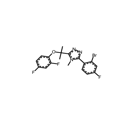 Cn1c(-c2ccc(F)cc2Br)nnc1C(C)(C)Oc1ccc(F)cc1F